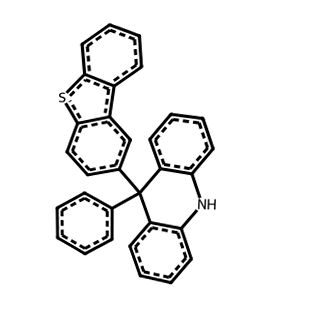 c1ccc(C2(c3ccc4sc5ccccc5c4c3)c3ccccc3Nc3ccccc32)cc1